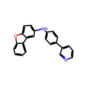 c1cncc(-c2ccc(Nc3ccc4oc5ccccc5c4c3)cc2)c1